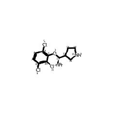 CCC[C@@H](Oc1c(Cl)ccc(Cl)c1Cl)C1CCNC1